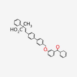 CC(C=Cc1ccc(-c2ccc(COc3cccc(C(=O)C4C=CC=CC4)c3)cc2)cc1)(C(=O)O)c1ccccc1